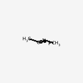 CCCCCCCCCOc1ccc(-c2ccc(CCCC(F)CCC)cn2)cc1